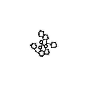 O=C(Oc1c(Cc2ccccc2)ccc2ccccc12)Oc1c(Cc2ccccc2)ccc2ccccc12